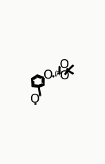 COCc1cccc(OC[C@@H]2COC(C)(C)O2)c1